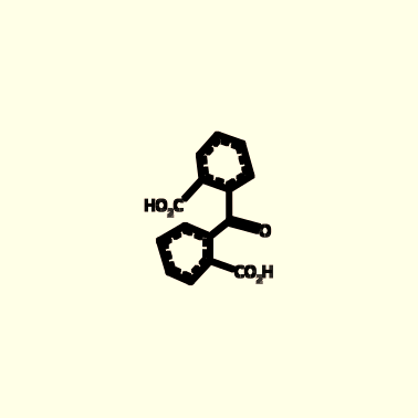 O=C(O)c1ccccc1C(=O)c1ccccc1C(=O)O